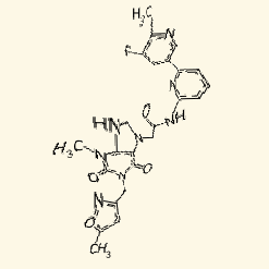 Cc1cc(Cn2c(=O)c3c(n(C)c2=O)NCN3CC(=O)Nc2cccc(-c3cnc(C)c(F)c3)n2)no1